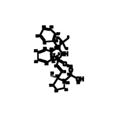 CC(C)(C)[Si](NS(=O)(=O)/C=C/[C@]1(C)CCCN1C(=O)O)(c1ccccc1)c1ccccc1